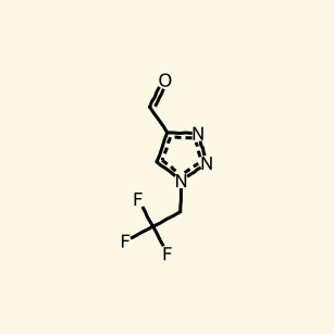 O=Cc1cn(CC(F)(F)F)nn1